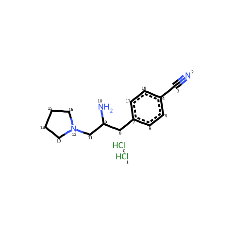 Cl.Cl.N#Cc1ccc(CC(N)CN2CCCC2)cc1